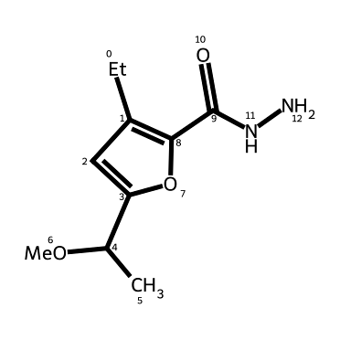 CCc1cc(C(C)OC)oc1C(=O)NN